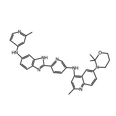 Cc1cc(Nc2ccc3nc(-c4ccc(Nc5cc(C)nc6ccc(N7CCCOC7(C)C)cc56)cn4)[nH]c3c2)ccn1